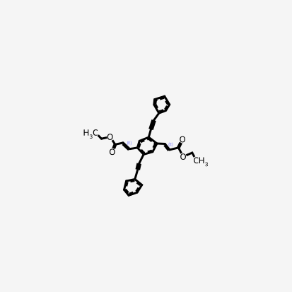 CCOC(=O)/C=C/c1cc(C#Cc2ccccc2)c(/C=C/C(=O)OCC)cc1C#Cc1ccccc1